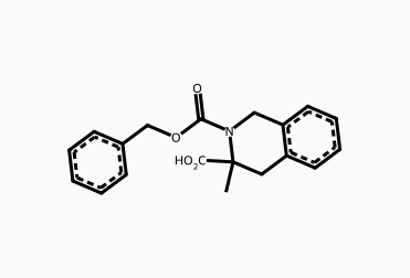 CC1(C(=O)O)Cc2ccccc2CN1C(=O)OCc1ccccc1